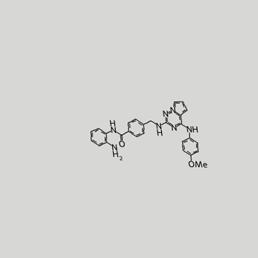 COc1ccc(Nc2nc(NCc3ccc(C(=O)Nc4ccccc4N)cc3)nn3cccc23)cc1